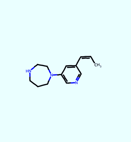 C/C=C\c1cncc(N2CCCNCC2)c1